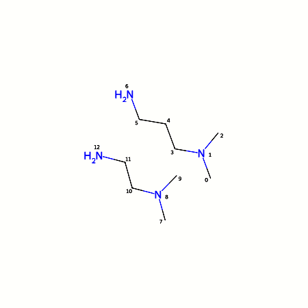 CN(C)CCCN.CN(C)CCN